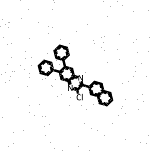 Clc1nc2cc(-c3ccccc3)c(-c3ccccc3)cc2nc1-c1ccc2ccccc2c1